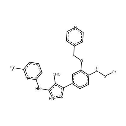 CCSNc1ccc(-c2n[nH]c(Nc3cccc(C(F)(F)F)n3)c2C=O)cc1OCc1ccncc1